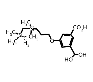 C[Si](C)(C)C[Si](C)(C)CCCOc1cc(C(=O)O)cc(C(O)O)c1